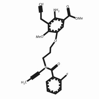 C#CCc1c(N)c(C(=O)OC)cc(OCCCN(C#CC)C(=O)c2ccccc2F)c1OC